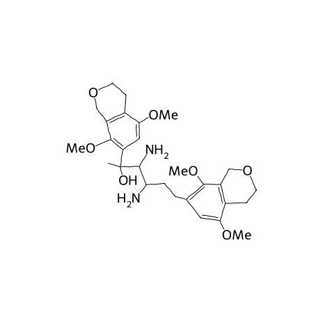 COc1cc(CCC(N)C(N)C(C)(O)c2cc(OC)c3c(c2OC)COCC3)c(OC)c2c1CCOC2